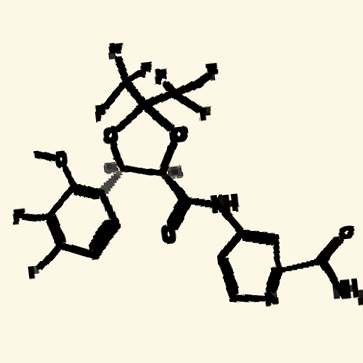 COc1c([C@@H]2OC(C(F)(F)F)(C(F)(F)F)O[C@H]2C(=O)Nc2ccnc(C(N)=O)c2)ccc(F)c1F